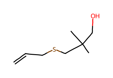 C=CCSCC(C)(C)CO